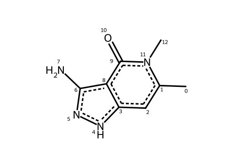 Cc1cc2[nH]nc(N)c2c(=O)n1C